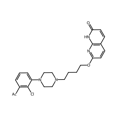 CC(=O)c1cccc(N2CCN(CCCCOc3ccc4ccc(=O)[nH]c4n3)CC2)c1Cl